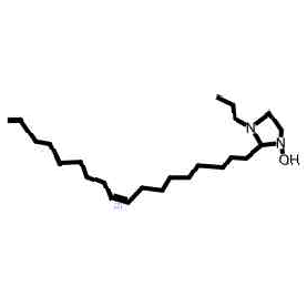 CCCCCCCC/C=C\CCCCCCCCC1N(O)CCN1CCC